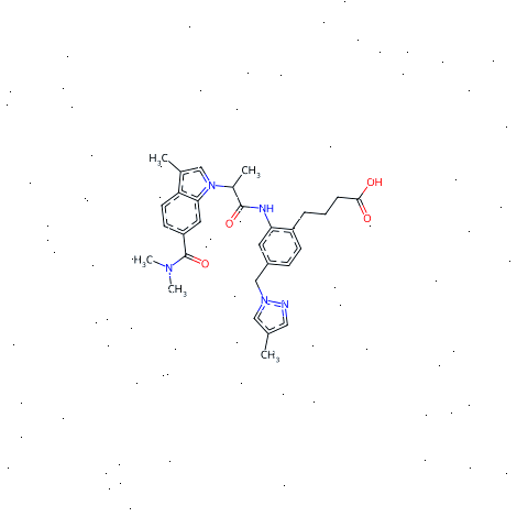 Cc1cnn(Cc2ccc(CCCC(=O)O)c(NC(=O)C(C)n3cc(C)c4ccc(C(=O)N(C)C)cc43)c2)c1